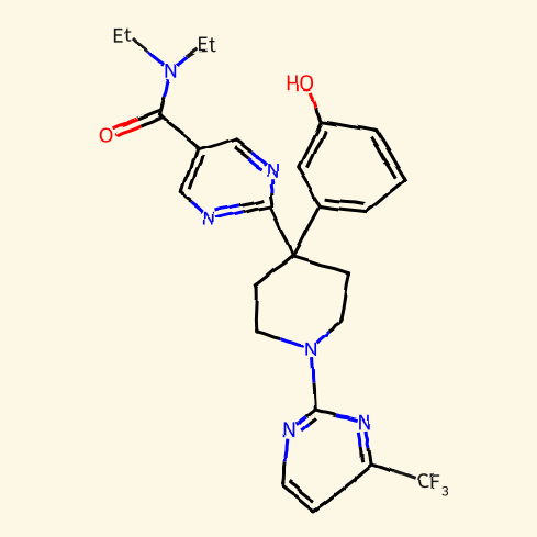 CCN(CC)C(=O)c1cnc(C2(c3cccc(O)c3)CCN(c3nccc(C(F)(F)F)n3)CC2)nc1